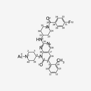 CC(=O)N1CCC(n2c(=O)c(-c3ccccc3C)cc3cnc(NC4CCN(C(=O)c5ccc(F)cc5)CC4)nc32)CC1